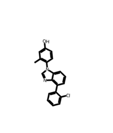 Cc1cc(O)ccc1-n1cnc2c(-c3ccccc3Cl)cccc21